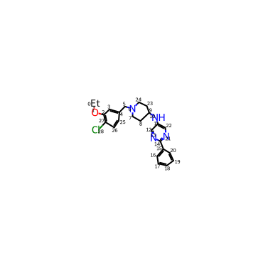 CCOc1cc(CN2CCC(Nc3cnc(-c4ccccc4)nc3)CC2)ccc1Cl